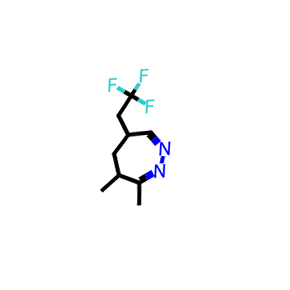 CC1=NN=CC(CC(F)(F)F)CC1C